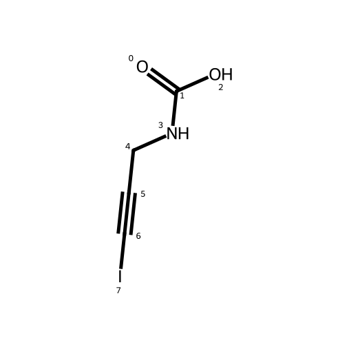 O=C(O)NCC#CI